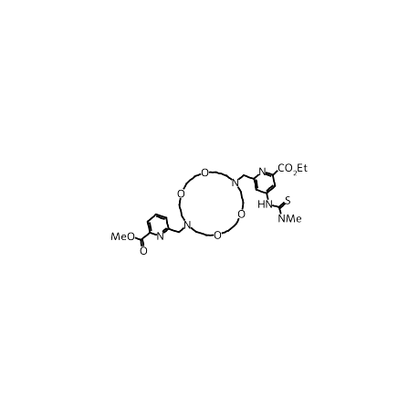 CCOC(=O)c1cc(NC(=S)NC)cc(CN2CCOCCOCCN(Cc3cccc(C(=O)OC)n3)CCOCCOCC2)n1